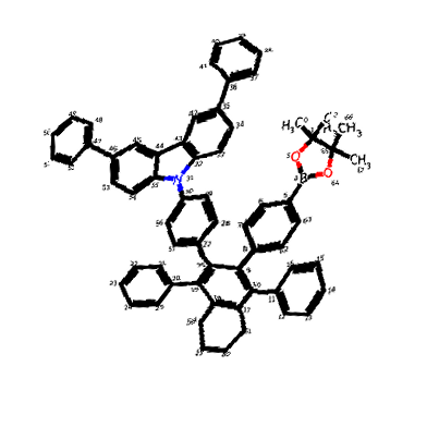 CC1(C)OB(c2ccc(-c3c(-c4ccccc4)c4c(c(-c5ccccc5)c3-c3ccc(-n5c6ccc(-c7ccccc7)cc6c6cc(-c7ccccc7)ccc65)cc3)CCCC4)cc2)OC1(C)C